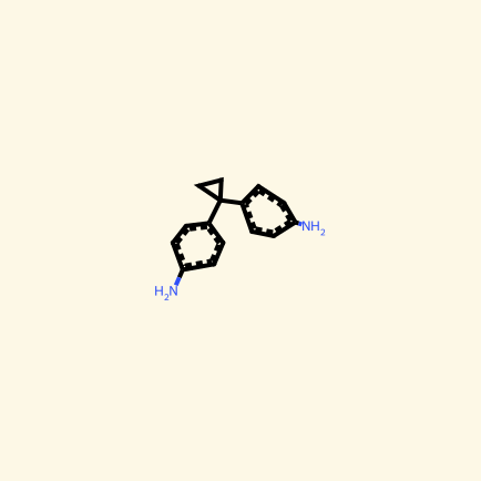 Nc1ccc(C2(c3ccc(N)cc3)CC2)cc1